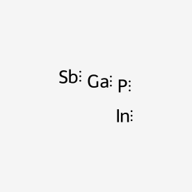 [Ga].[In].[P].[Sb]